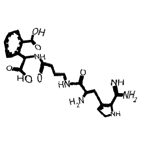 N=C(N)C1NCC=C1CC(N)C(=O)NCCCC(=O)NC(C(=O)O)c1ccccc1C(=O)O